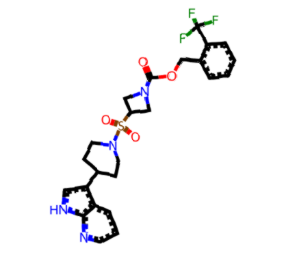 O=C(OCc1ccccc1C(F)(F)F)N1CC(S(=O)(=O)N2CCC(c3c[nH]c4ncccc34)CC2)C1